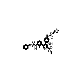 CCOC(=O)c1ncc(-c2cccc(NC(=O)OCc3ccccc3)c2C)c2c1[nH]c1cc(NC(=O)OCC[Si](C)(C)C)ccc12